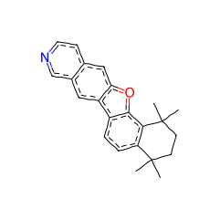 CC1(C)CCC(C)(C)c2c1ccc1c2oc2cc3ccncc3cc21